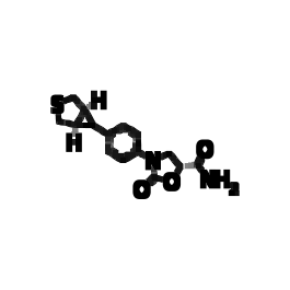 NC(=O)[C@H]1CN(c2ccc(C3[C@H]4CSC[C@@H]34)cc2)C(=O)O1